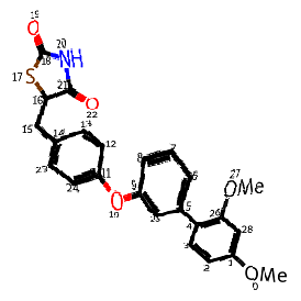 COc1ccc(-c2cccc(Oc3ccc(CC4SC(=O)NC4=O)cc3)c2)c(OC)c1